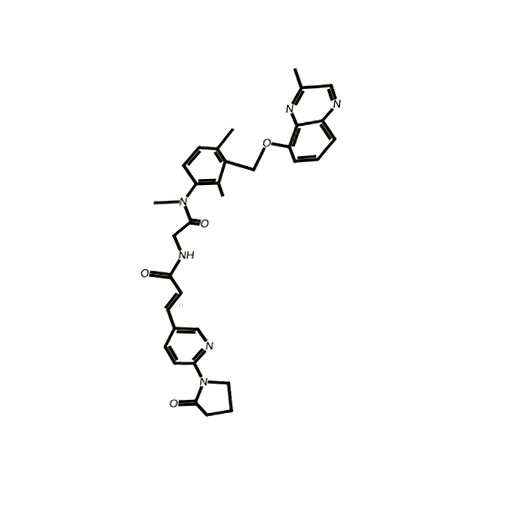 Cc1cnc2cccc(OCc3c(C)ccc(N(C)C(=O)CNC(=O)/C=C/c4ccc(N5CCCC5=O)nc4)c3C)c2n1